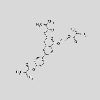 C=C(C)C(=O)OCCOC(=O)c1ccc(-c2ccc(OC(=O)C(=C)C)cc2)cc1CCOC(=O)C(=C)C